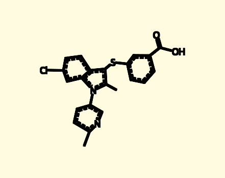 Cc1ccc(-n2c(C)c(Sc3cccc(C(=O)O)c3)c3ccc(Cl)cc32)cn1